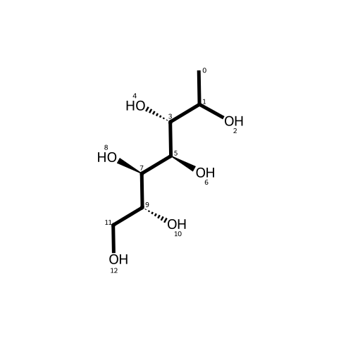 CC(O)[C@@H](O)[C@@H](O)[C@H](O)[C@H](O)CO